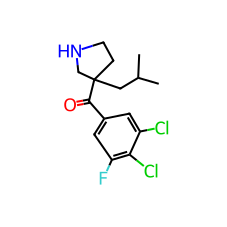 CC(C)CC1(C(=O)c2cc(F)c(Cl)c(Cl)c2)CCNC1